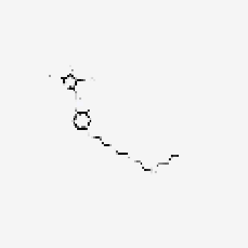 CCN(CCOCCOCCN(C)CCCS(=O)(=O)O)c1ccc(/N=N/c2sc(C#N)c(C)c2C#N)c(C)c1